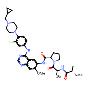 CN[C@@H](C)C(=O)N[C@H](C(=O)N1CCC[C@H]1C(=O)Nc1cc2c(Nc3ccc(N4CCN(CC5CC5)CC4)c(F)c3)ncnc2cc1OC)C(C)(C)C